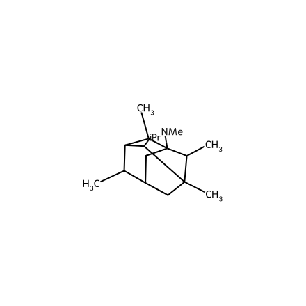 CNC12CC3CC(C)(C(C(C)C)C(C3C)C1C)C2C